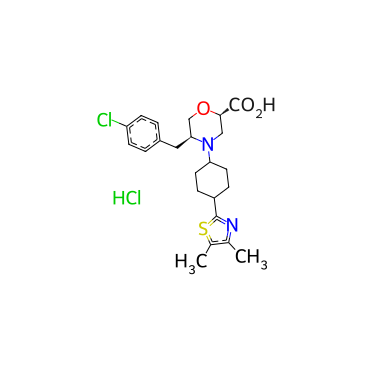 Cc1nc(C2CCC(N3C[C@H](C(=O)O)OC[C@@H]3Cc3ccc(Cl)cc3)CC2)sc1C.Cl